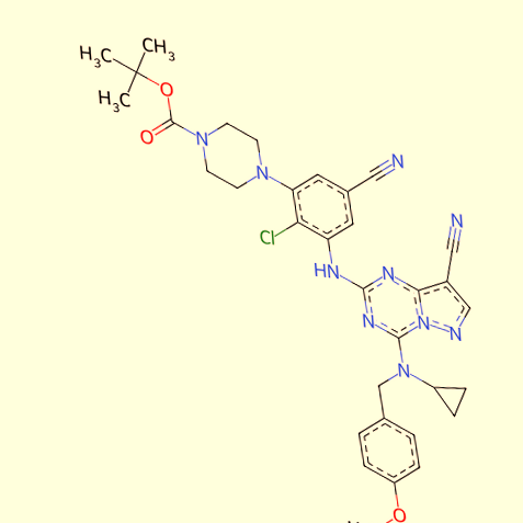 COc1ccc(CN(c2nc(Nc3cc(C#N)cc(N4CCN(C(=O)OC(C)(C)C)CC4)c3Cl)nc3c(C#N)cnn23)C2CC2)cc1